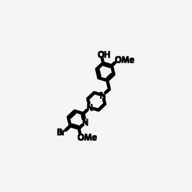 COc1cc(CN2CCN(c3ccc(Br)c(OC)n3)CC2)ccc1O